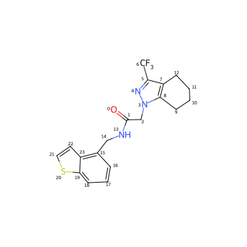 O=C(Cn1nc(C(F)(F)F)c2c1CCCC2)NCc1cccc2sccc12